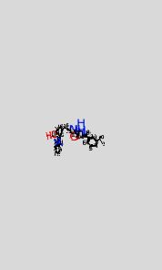 C=C(C)c1cccc(C(C)(C)NC(=O)NCCc2ccc(O)c(-n3nc4ccccc4n3)c2)c1